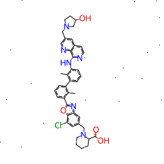 Cc1c(Nc2nccc3cc(CN4CCC(O)C4)cnc23)cccc1-c1cccc(-c2nc3cc(CN4CCCCC4C(=O)O)cc(Cl)c3o2)c1C